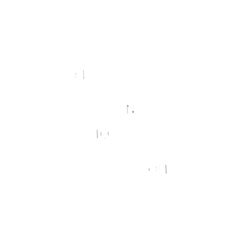 Oc1ccc(-c2ncc3cc(Cl)ccc3c2O)cc1